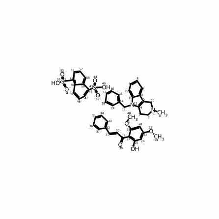 CN1CCc2c(c3ccccc3n2Cc2ccccc2)C1.COc1cc(O)c(C(=O)C=Cc2ccccc2)c(OC)c1.O=S(=O)(O)c1cccc2c(S(=O)(=O)O)cccc12